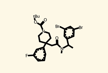 CC(c1cc(Br)cc(Br)c1)N(C)C(=O)CC1(c2cccc(F)c2)CCN(C(=O)OC(C)(C)C)CC1